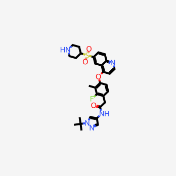 Cc1c(Oc2ccnc3ccc(S(=O)(=O)C4CCNCC4)cc23)ccc(CC(=O)Nc2cnn(C(C)(C)C)c2)c1F